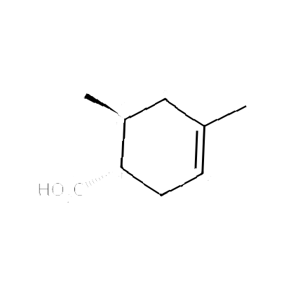 CC1=CC[C@H](C(=O)O)[C@@H](C)C1